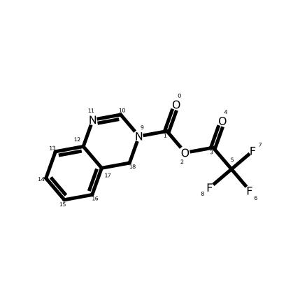 O=C(OC(=O)C(F)(F)F)N1C=Nc2ccccc2C1